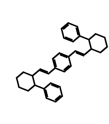 C(=CC1CCCCC1c1ccccc1)c1ccc(C=CC2CCCCC2c2ccccc2)cc1